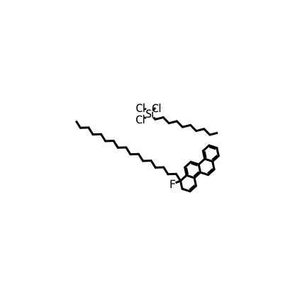 CCCCCCCCCCCCCCCCCC1(F)CC=Cc2c1ccc1c2ccc2ccccc21.CCCCCCCCCC[Si](Cl)(Cl)Cl